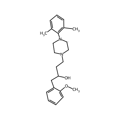 COc1ccccc1CC(O)CCN1C[CH]N(c2c(C)cccc2C)CC1